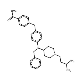 COC(=O)c1ccc(Cc2ccc(N(Cc3ccccc3)C3CCN(CCC(C)N)CC3)cc2)cc1